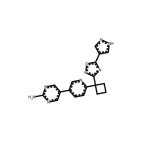 Nc1ncc(-c2ccc(C3(c4noc(-c5cn[nH]c5)n4)CCC3)nc2)cn1